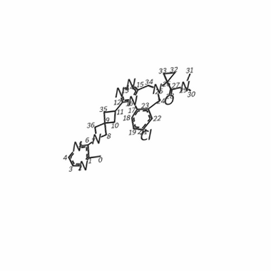 Cc1nccnc1N1CC2(CC(c3nnc4n3-c3ccc(Cl)cc3CN(C3(C(=O)N(C)C)CC3)C4)C2)C1